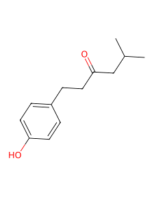 CC(C)CC(=O)CCc1ccc(O)cc1